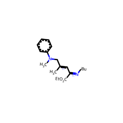 CCOC(=O)C(/C=C(\C)CN(C)c1ccccc1)=N/C(C)CC